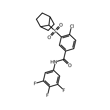 O=C(Nc1cc(F)c(F)c(F)c1)c1ccc(Cl)c(S(=O)(=O)C2C3CCC2CC3)c1